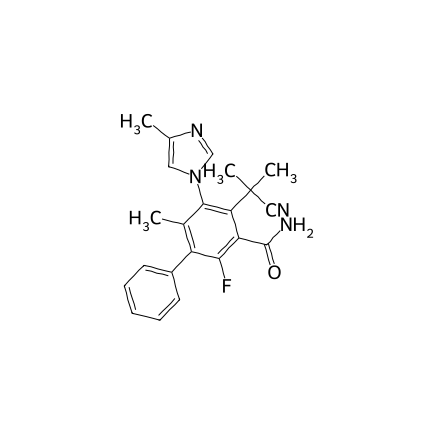 Cc1cn(-c2c(C)c(-c3ccccc3)c(F)c(C(N)=O)c2C(C)(C)C#N)cn1